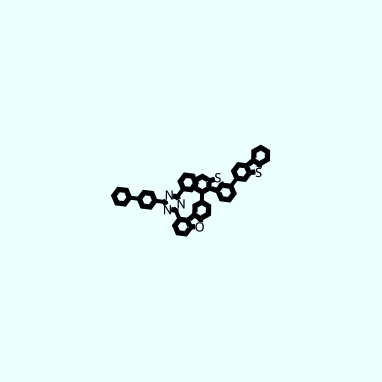 c1ccc(-c2ccc(-c3nc(-c4ccccc4)nc(-c4cccc5oc6ccc(-c7cccc8sc9c(-c%10ccc%11c(c%10)sc%10ccccc%10%11)cccc9c78)cc6c45)n3)cc2)cc1